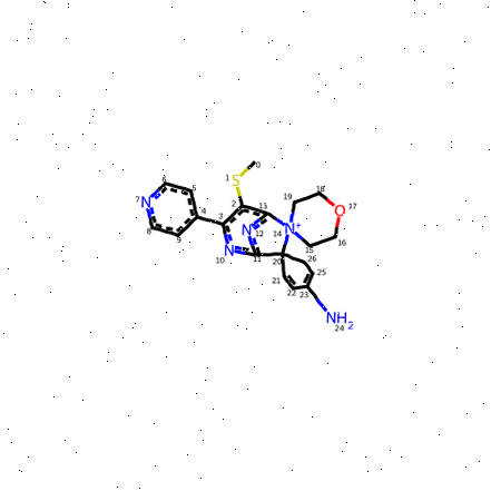 CSc1c(-c2ccncc2)nc2nc1[N+]1(CCOCC1)C21C=CC(N)=CC1